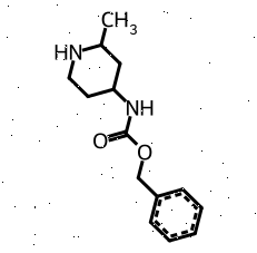 CC1CC(NC(=O)OCc2ccccc2)CCN1